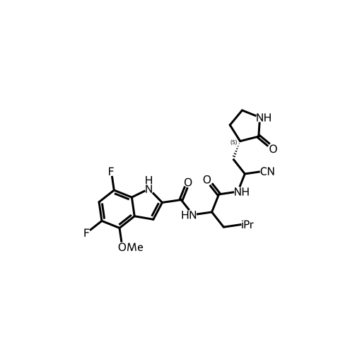 COc1c(F)cc(F)c2[nH]c(C(=O)NC(CC(C)C)C(=O)NC(C#N)C[C@@H]3CCNC3=O)cc12